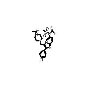 CC(=O)N1CCN(Cc2c(-c3ccc(Cl)cc3)nc3ccc(N(C(F)F)S(C)(=O)=O)cn23)CC1